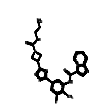 Cc1c(F)cc(-c2noc(C3CN(C(=O)NCCN)C3)n2)cc1NC(=O)c1cnc2ccccn12